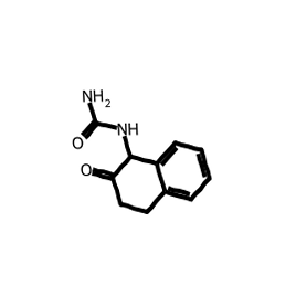 NC(=O)NC1C(=O)CCc2ccccc21